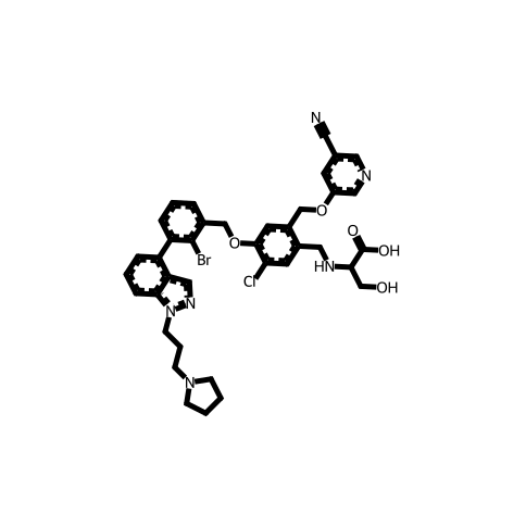 N#Cc1cncc(OCc2cc(OCc3cccc(-c4cccc5c4cnn5CCCN4CCCC4)c3Br)c(Cl)cc2CNC(CO)C(=O)O)c1